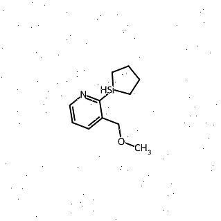 COCc1cccnc1[SiH]1CCCC1